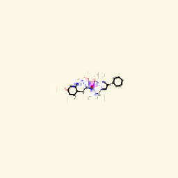 Cc1cc(O)cc(C)c1CC(NC(=O)OC(C)(C)C)C(=O)N(C(C)C)C(C)c1cc(-c2ccccc2)c[nH]1